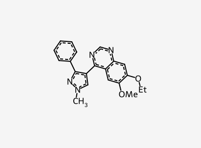 CCOc1cc2ncnc(-c3cn(C)nc3-c3ccccc3)c2cc1OC